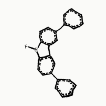 FB1c2ccc(-c3ccccc3)cc2-c2cc(-c3ccccc3)ccc21